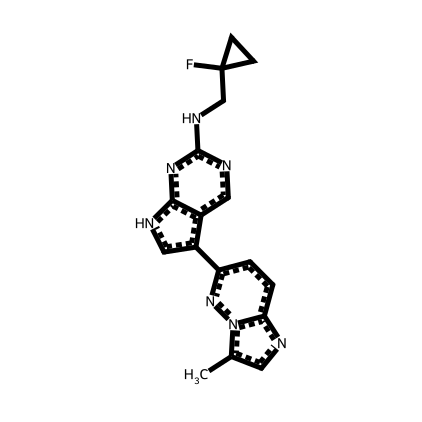 Cc1cnc2ccc(-c3c[nH]c4nc(NCC5(F)CC5)ncc34)nn12